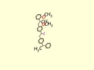 COc1cc(C(I)Cc2ccc(C(C)c3ccccc3)cc2)ccc1CC(C)c1ccccc1OC